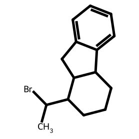 CC(Br)C1CCCC2c3ccccc3CC21